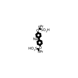 CCCC(Oc1ccc(-c2ccc(OC(CCC)S(=O)(=O)O)cc2)cc1)S(=O)(=O)O.[NaH]